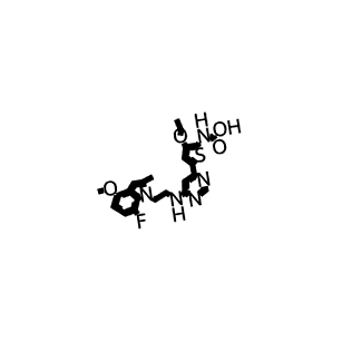 CCOc1cc(-c2cc(NCCn3c(C)cc4c(OC)ccc(F)c43)ncn2)sc1NC(=O)O